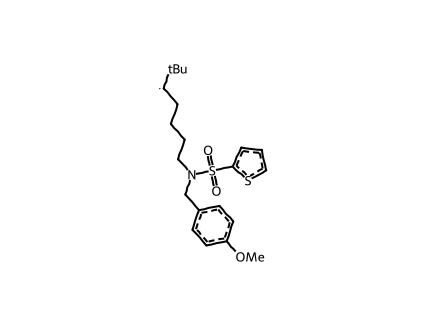 COc1ccc(CN(CCCC[CH]C(C)(C)C)S(=O)(=O)c2cccs2)cc1